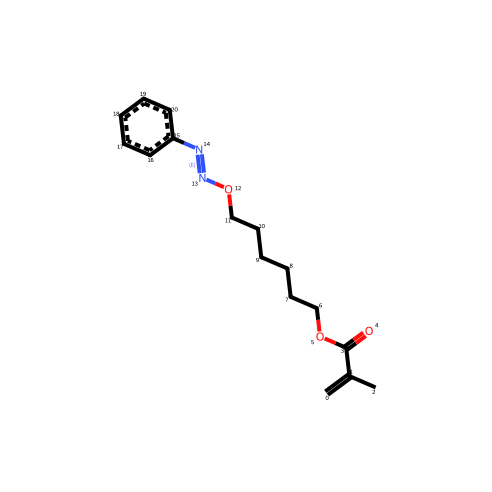 C=C(C)C(=O)OCCCCCCO/N=N/c1ccccc1